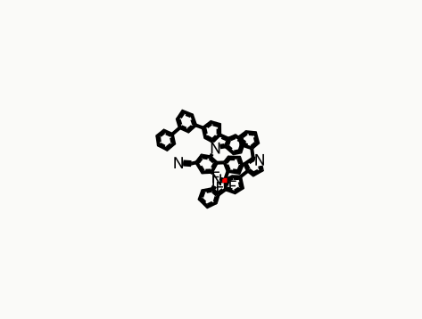 N#Cc1cc(-n2c3ccccc3c3ccc(-c4cccc(-c5ccccc5)c4)cc32)c(-c2ccccc2C(F)(F)F)c(-n2c3ccccc3c3ccc(-c4ccnc(-c5ccccc5)c4)cc32)c1